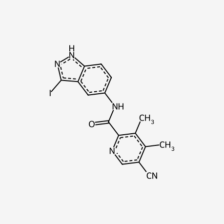 Cc1c(C#N)cnc(C(=O)Nc2ccc3[nH]nc(I)c3c2)c1C